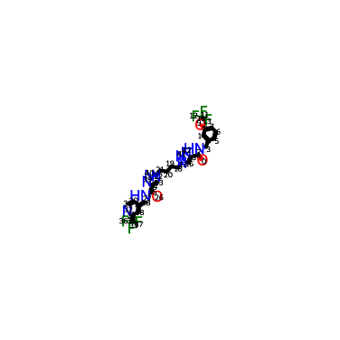 O=C(NCc1cccc(OC(F)(F)F)c1)c1cn(CCCCn2cc(C(=O)NCc3ccnc(C(F)(F)F)c3)nn2)nn1